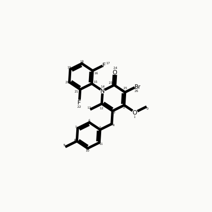 COc1c(Cc2ccc(C)cc2)c(C)n(-c2c(F)cccc2F)c(=O)c1Br